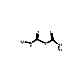 NNC(=O)SC(=O)NN